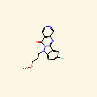 COCCCn1c2ccc(F)cc2c2nc3cnccc3c(=O)n21